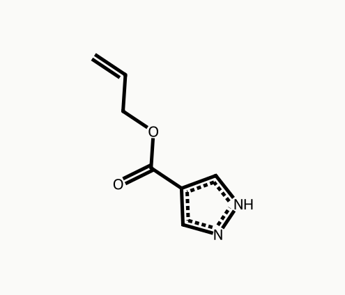 C=CCOC(=O)c1cn[nH]c1